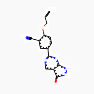 C=CCOc1ccc(-c2ncc3c(=O)[nH][nH]c3n2)cc1C#N